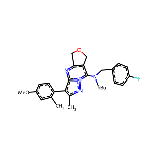 CCCCN(Cc1ccc(F)cc1)c1c2c(nc3c(-c4ccc(OC)cc4C)c(C)nn13)COC2